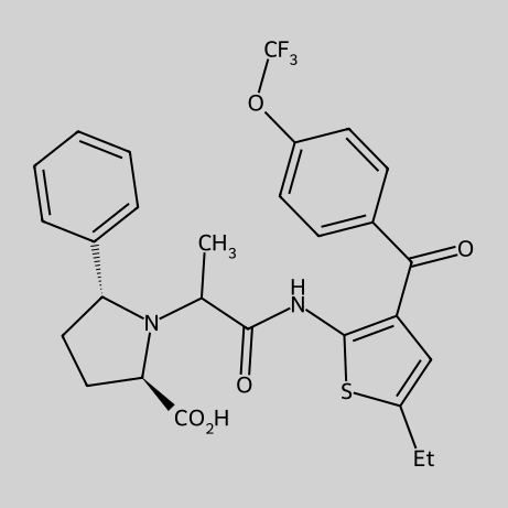 CCc1cc(C(=O)c2ccc(OC(F)(F)F)cc2)c(NC(=O)C(C)N2[C@@H](C(=O)O)CC[C@@H]2c2ccccc2)s1